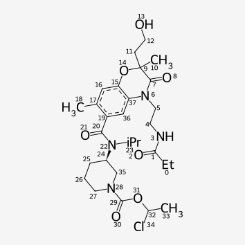 CCC(=O)NCCN1C(=O)C(C)(CCO)Oc2cc(C)c(C(=O)N(C(C)C)[C@@H]3CCCN(C(=O)OC(C)Cl)C3)cc21